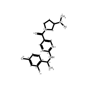 CC(=O)N(C)C1CCN(C(=O)c2cnc(NC(C)c3ccc(Cl)cc3F)nc2)C1